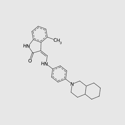 Cc1cccc2c1C(=CNc1ccc(N3CCC4CCCCC4C3)cc1)C(=O)N2